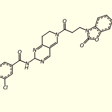 O=C(NC1N=CC2=CN(C(=O)CCn3c(=O)oc4ccccc43)CCC2=N1)c1cccc(Cl)c1